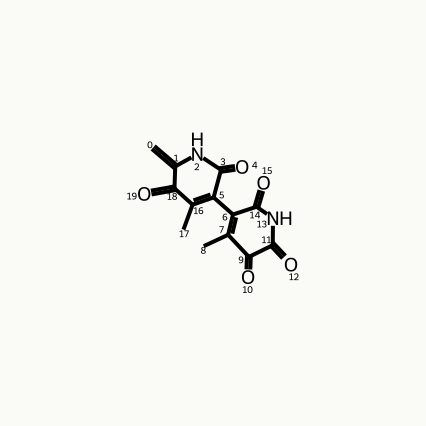 C=C1NC(=O)C(C2=C(C)C(=O)C(=O)NC2=O)=C(C)C1=O